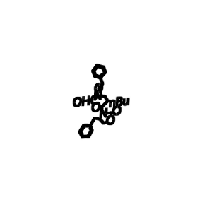 CCCCC(CN(C=O)OCc1ccccc1)C(=O)N1C(=O)OCC1Cc1ccccc1